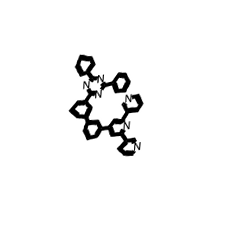 c1ccc(-c2nc(-c3ccccc3)nc(-c3cccc(-c4cccc(-c5cc(-c6cccnc6)nc(-c6cccnc6)c5)c4)c3)n2)cc1